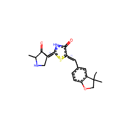 CC1NC/C(=c2/[nH]c(=O)/c(=C/c3ccc4c(c3)C(C)(C)CO4)s2)C1=O